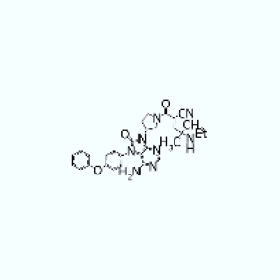 CCNC(C)(C)C=C(C#N)C(=O)N1CCC(n2c(=O)n(-c3ccc(Oc4ccccc4)cc3)c3c(N)ncnc32)C1